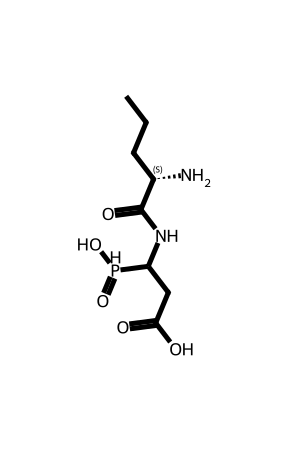 CCC[C@H](N)C(=O)NC(CC(=O)O)[PH](=O)O